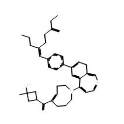 C=C(CC)CC/C(=C\c1ccc(C2=CCC3=CN=CC=C(N4CC/C=C(\C(=O)C5CC(C)(O)C5)CCC4)C3=C2)cc1)CCC